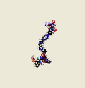 CCc1cccc2cc(OCOC)cc(-c3ncc4c(N5CC6CCC(C5)N6C(=O)OC(C)(C)C)nc(OCC5(CN6CCC(CN7CC(N8CCN(c9ccc%10c(c9)CN([C@H]9CCC(=O)NC9=O)C%10=O)CC8)C7)CC6)CC5)nc4c3F)c12